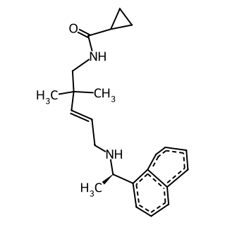 C[C@@H](NC/C=C/C(C)(C)CNC(=O)C1CC1)c1cccc2ccccc12